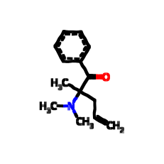 C=CCC(C)(C(=O)c1ccccc1)N(C)C